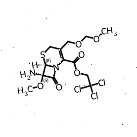 COCOCC1=C(C(=O)OCC(Cl)(Cl)Cl)N2C(=O)[C@](N)(OC)[C@H]2SC1